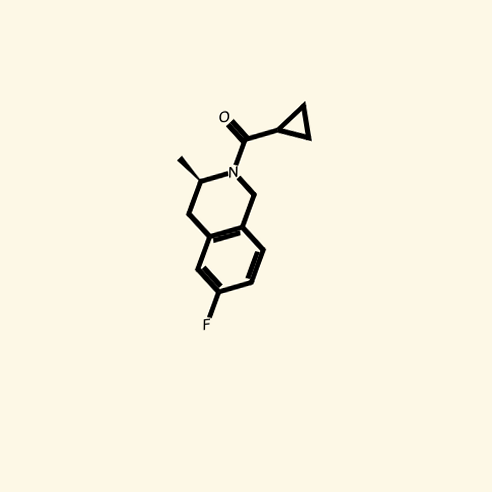 C[C@@H]1Cc2cc(F)ccc2CN1C(=O)C1CC1